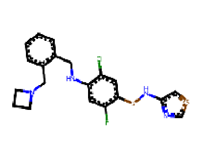 Fc1cc(NCc2ccccc2CN2CCC2)c(Cl)cc1SNc1cscn1